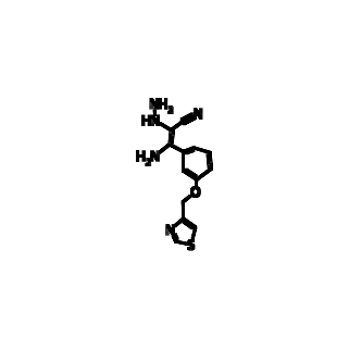 N#C/C(NN)=C(/N)c1cccc(OCc2cscn2)c1